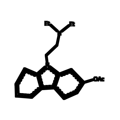 CCN(CC)CCn1c2ccccc2c2ccc(OC(C)=O)cc21